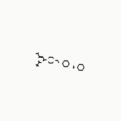 CC(C)c1cc(N2CCN(CC[C@H]3CC[C@@H](NC(=O)[C@H]4CC[C@@H](O)CC4)CC3)CC2)nc(C(C)(C)C)n1